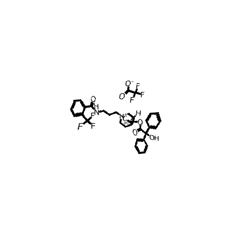 O=C(NCCC[N+]12CCC(CC1)[C@@H](OC(=O)C(O)(c1ccccc1)c1ccccc1)C2)c1ccccc1C(F)(F)F.O=C([O-])C(F)(F)F